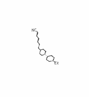 CC[C@H]1CC[C@H](C2CCC(CCC=CC=CC#N)CC2)CC1